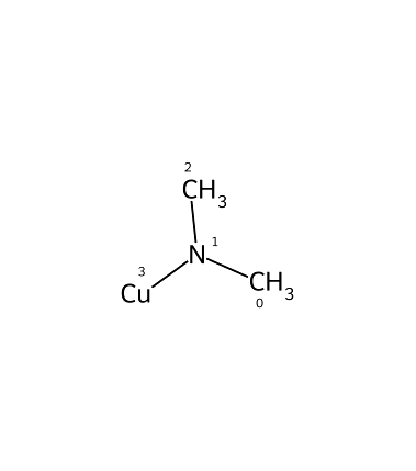 C[N](C)[Cu]